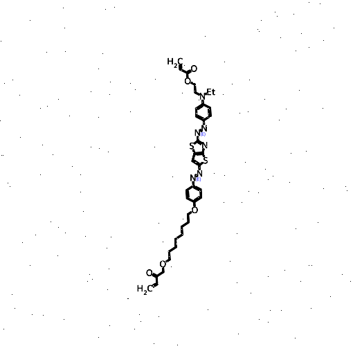 C=CC(=O)COCCCCCCCCOc1ccc(/N=N/c2cc3sc(/N=N/c4ccc(N(CC)CCOC(=O)C=C)cc4)nc3s2)cc1